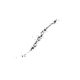 C=CC(=O)OCCCCCCCOC(=O)Oc1ccc(C(=O)Oc2ccc(OC(=O)c3ccc(OC(=O)OCCCCCCCOC(=O)C=C)cc3)c(C)c2)cc1